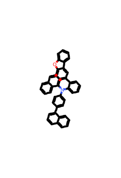 c1ccc(N(c2ccc(-c3cccc4ccccc34)cc2)c2cccc3ccccc23)c(-c2ccc3oc4ccccc4c3c2)c1